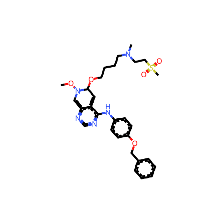 CON1C=c2ncnc(Nc3ccc(OCc4ccccc4)cc3)c2=CC1OCCCCN(C)CCS(C)(=O)=O